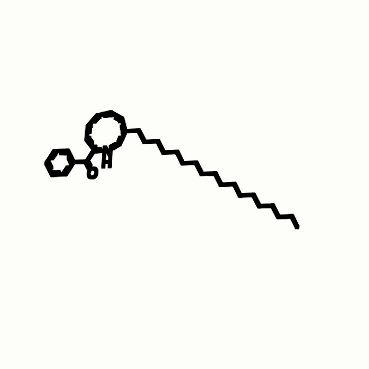 CCCCCCCCCCCCCCCCCCc1cccccc(C(=O)c2ccccc2)[nH]c1